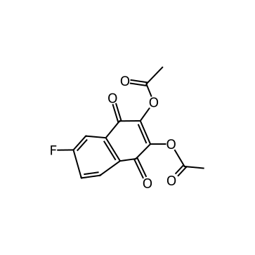 CC(=O)OC1=C(OC(C)=O)C(=O)c2cc(F)ccc2C1=O